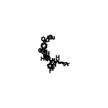 CC(C)CCNc1nc(N2C[C@@H]3[C@H](C2)[C@H]3CS(=O)(=O)N2CCN(C(=O)OC(C)(C)C)CC2)c2c(n1)C(F)(F)CC2